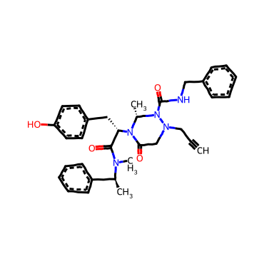 C#CCN1CC(=O)N([C@@H](Cc2ccc(O)cc2)C(=O)N(C)[C@@H](C)c2ccccc2)[C@H](C)N1C(=O)NCc1ccccc1